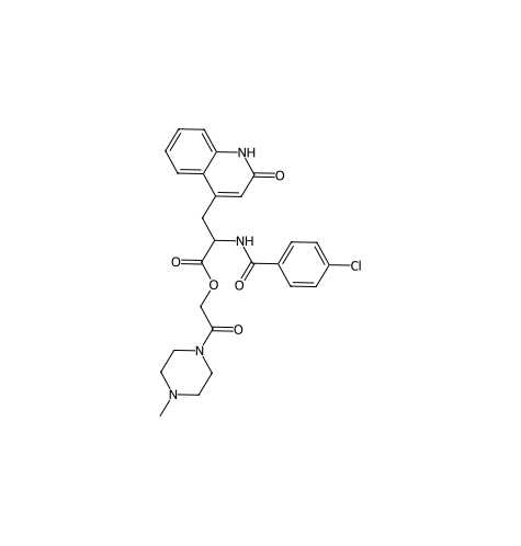 CN1CCN(C(=O)COC(=O)C(Cc2cc(=O)[nH]c3ccccc23)NC(=O)c2ccc(Cl)cc2)CC1